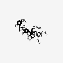 COCc1c(-c2ccc(NC(=O)Nc3cc(C(F)(F)F)ccc3F)c(F)c2)c2c(N)ncnn2c1CN1C[C@@H](C)O[C@@H](C)C1